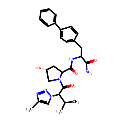 Cc1cn(C(C(=O)N2C[C@H](O)CC2C(=O)NC(Cc2ccc(-c3ccccc3)cc2)C(N)=O)C(C)C)nn1